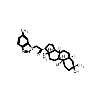 CC[C@]12CC[C@@](C)(O)C[C@@H]1CC[C@H]1[C@@H]3CC[C@H](C(=O)Cn4nnc5ccc(C)cc54)[C@@]3(C)CC[C@@H]12